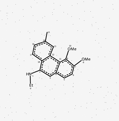 CCNc1cc2ccc(OC)c(OC)c2c2cc(C)ccc12